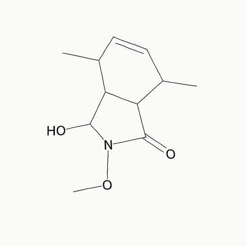 CON1C(=O)C2C(C)C=CC(C)C2C1O